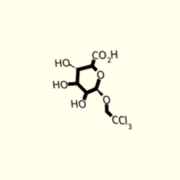 O=C(O)C1O[C@@H](OCC(Cl)(Cl)Cl)C(O)C(O)[C@@H]1O